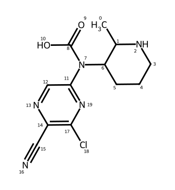 CC1NCCCC1N(C(=O)O)c1cnc(C#N)c(Cl)n1